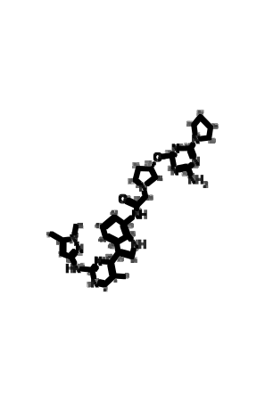 Cc1cnc(Nc2cc(C)n(C)n2)nc1-c1c[nH]c2c(NC(=O)CN3CC[C@H](Oc4nc(N)nc(N5CCCC5)n4)C3)cccc12